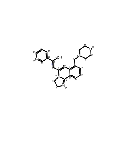 O/C(=C\C1=Nc2c(CN3CCOCC3)cccc2C2=NCCN12)c1cccnc1